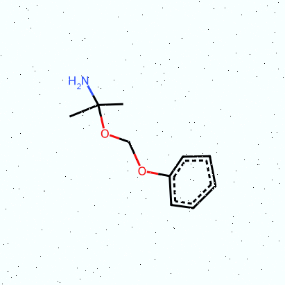 CC(C)(N)OCOc1ccccc1